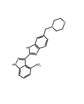 O=[N+]([O-])c1cccc2[nH]nc(-c3nc4ccc(CN5CCOCC5)cc4[nH]3)c12